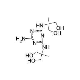 CC(CO)(CO)Nc1nc(N)nc(NC(C)(CO)CO)n1